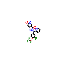 Cn1cc(C(=O)NC(c2ccc(OC(F)(F)F)c(F)c2)c2ccccn2)ccc1=O